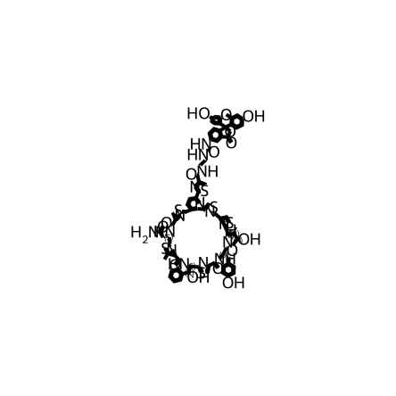 Cc1sc2nc1C(=O)N[C@@H]([C@H](O)c1ccccc1)c1nc(cs1)C(=O)N[C@@H](Cc1ccc(O)cc1)C(=O)N1C[C@H](O)[C@H](C)[C@H]1c1nc(cs1)-c1nc(cs1)-c1nc(-c3nc(C(=O)NCCNC(=O)Nc4ccc5c(c4)C(=O)OC54c5ccc(O)cc5Oc5cc(O)ccc54)cs3)ccc1-c1nc(cs1)C(=O)N[C@H]2CC(N)=O